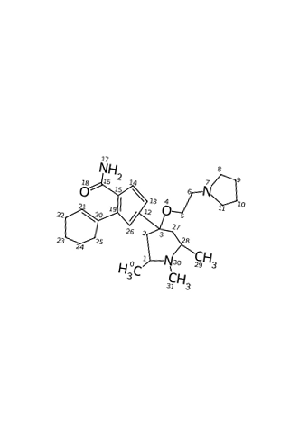 CC1CC(OCCN2CCCC2)(c2ccc(C(N)=O)c(C3=CCCCC3)c2)CC(C)N1C